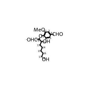 COc1cc(C=O)ccc1OC([C]=O)C(O)CCCCCO